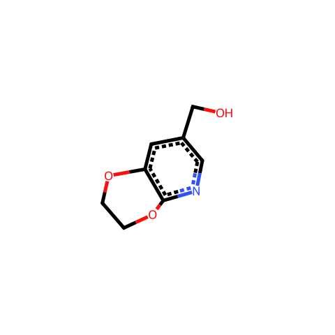 OCc1cnc2c(c1)OCCO2